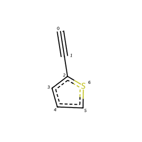 [C]#Cc1cccs1